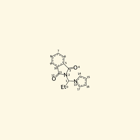 CCC(N1C(=O)c2ccccc2C1=O)n1cccc1